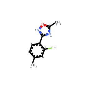 Cc1ccc(-c2noc(C)n2)c(F)c1